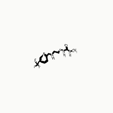 CNC(=O)NSCCNCc1ccc(C(F)(F)F)cn1